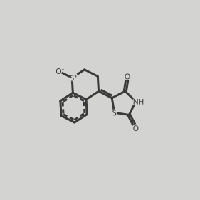 O=C1NC(=O)C(=C2CC[S+]([O-])c3ccccc32)S1